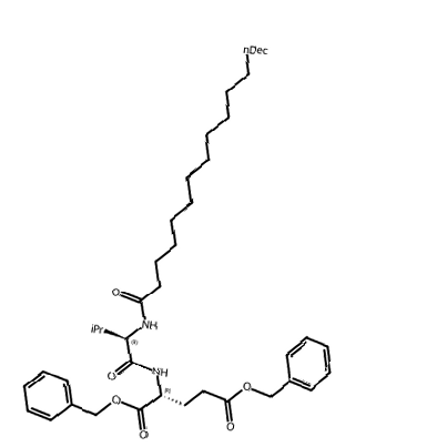 CCCCCCCCCCCCCCCCCCCCCC(=O)N[C@@H](C(=O)N[C@H](CCC(=O)OCc1ccccc1)C(=O)OCc1ccccc1)C(C)C